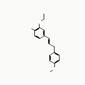 CCOc1cc(/C=C/Cc2ccc(OC)cc2)ccc1O